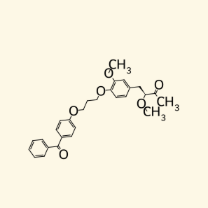 COc1cc(C[C@H](OC)C(C)=O)ccc1OCCCOc1ccc(C(=O)c2ccccc2)cc1